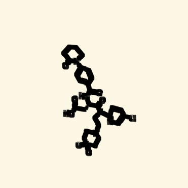 O=C(O)C[C@H](NC(=O)c1ccc(N2CCCCC2=O)cc1)C(=O)N(CCN1CCS(=O)(=O)CC1)c1ccc(Cl)cn1